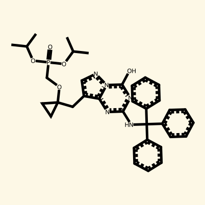 CC(C)OP(=O)(COC1(Cc2cnn3c(O)nc(NC(c4ccccc4)(c4ccccc4)c4ccccc4)nc23)CC1)OC(C)C